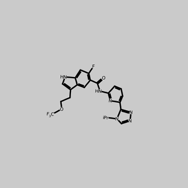 CC(C)n1cnnc1-c1cccc(NC(=O)c2cc3c(CCOC(F)(F)F)c[nH]c3cc2F)n1